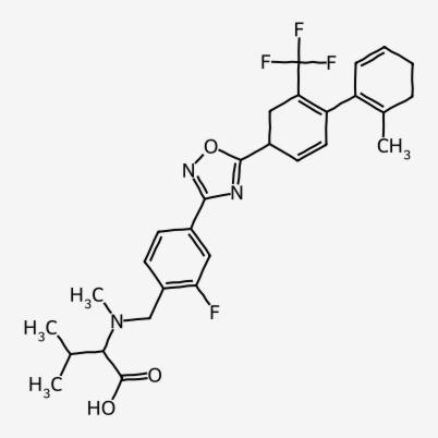 CC1=C(C2=C(C(F)(F)F)CC(c3nc(-c4ccc(CN(C)C(C(=O)O)C(C)C)c(F)c4)no3)C=C2)C=CCC1